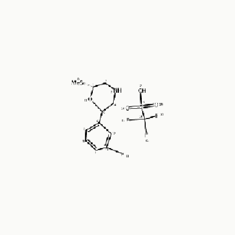 CS[C@@H]1CNCC(c2cccc(F)c2)O1.O=S(=O)(O)C(F)(F)F